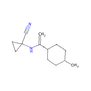 C=C(NC1(C#N)CC1)C1CCC(C)CC1